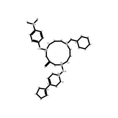 C=C1CN(Sc2ccc(N(C)C)cc2)CCCN(CC2CCCCC2)CCCN(SN2CC=C(C3=CCCC3)CC2)C1